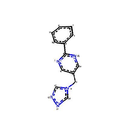 c1ccc(-c2ncc(Cn3cnnc3)cn2)cc1